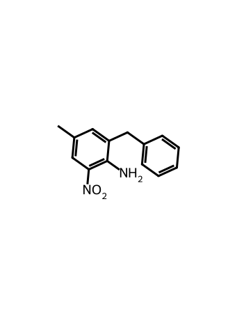 Cc1cc(Cc2ccccc2)c(N)c([N+](=O)[O-])c1